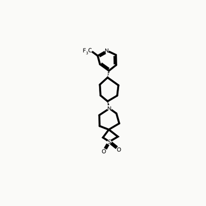 O=S1(=O)CC2(CCN([C@H]3CC[C@@H](c4ccnc(C(F)(F)F)c4)CC3)CC2)C1